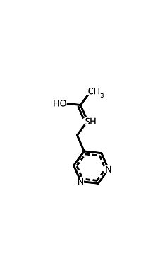 CC(O)=[SH]Cc1cncnc1